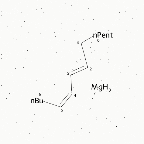 [CH2]CCCCC/C=C/C=C\CCCC.[MgH2]